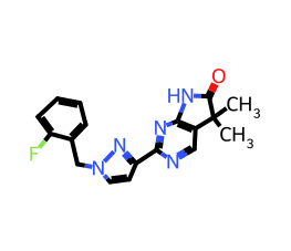 CC1(C)C(=O)Nc2nc(-c3ccn(Cc4ccccc4F)n3)ncc21